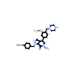 COc1ccc(Cn2ncc3c(-c4ccc(CN5CCNCC5)c(OC(F)(F)F)c4)cn(C)c(=O)c32)cc1